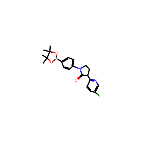 CC1(C)OB(c2ccc(N3CCC(c4ccc(F)cn4)C3=O)cc2)OC1(C)C